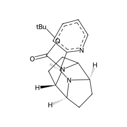 C[C@H](c1ccccn1)N1[C@@H]2CC[C@H]1[C@@H]1CCC2N1C(=O)OC(C)(C)C